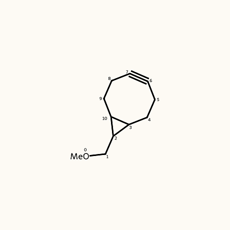 COCC1C2CCC#CCCC21